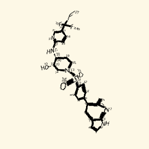 Cc1nc2[nH]ccc2cc1-c1ccc(S(=O)(=O)N2CC[C@@H](Nc3ccc(C(F)(F)F)cn3)[C@@H](O)C2)cc1